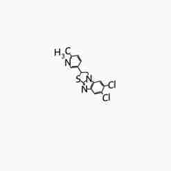 Cc1ccc(C2Cn3c(nc4cc(Cl)c(Cl)cc43)S2)cn1